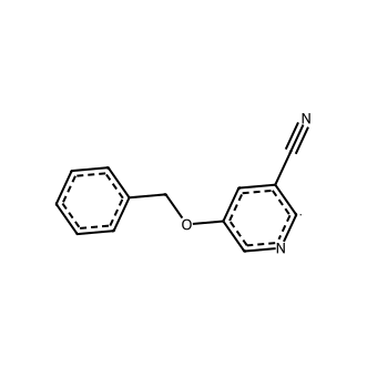 N#Cc1[c]ncc(OCc2ccccc2)c1